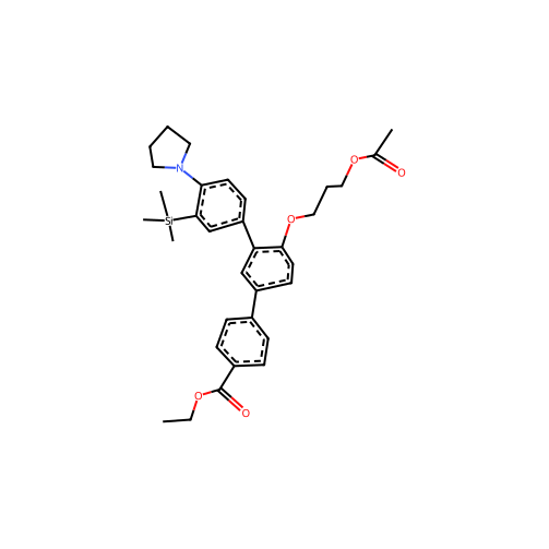 CCOC(=O)c1ccc(-c2ccc(OCCCOC(C)=O)c(-c3ccc(N4CCCC4)c([Si](C)(C)C)c3)c2)cc1